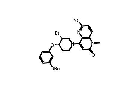 CC[C@@H]1CN(c2cc(=O)n(C)c3ccc(C#N)nc23)CC[C@@H]1Oc1cccc(C(C)(C)C)c1